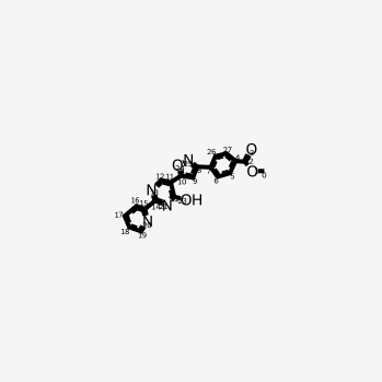 COC(=O)c1ccc(-c2cc(-c3cnc(-c4ccccn4)nc3O)on2)cc1